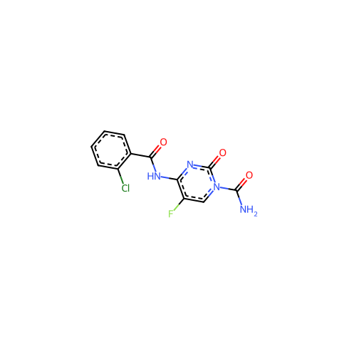 NC(=O)n1cc(F)c(NC(=O)c2ccccc2Cl)nc1=O